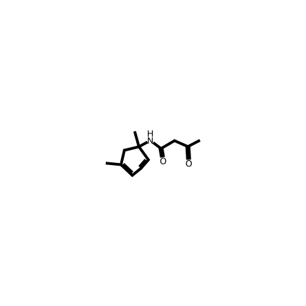 CC(=O)CC(=O)NC1(C)C=CC=C(C)C1